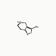 CC(C)(C)c1onc2c1CNCC2